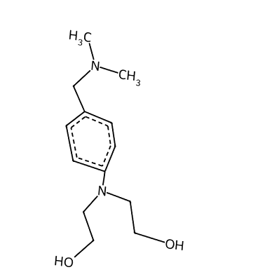 CN(C)Cc1ccc(N(CCO)CCO)cc1